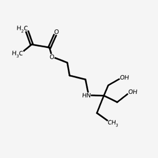 C=C(C)C(=O)OCCCNC(CC)(CO)CO